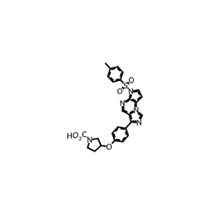 Cc1ccc(S(=O)(=O)n2ccc3c2ncc2c(-c4ccc(OC5CCN(C(=O)O)C5)cc4)ncn23)cc1